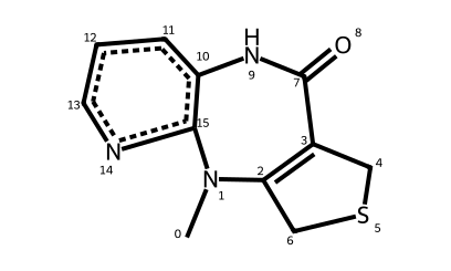 CN1C2=C(CSC2)C(=O)Nc2cccnc21